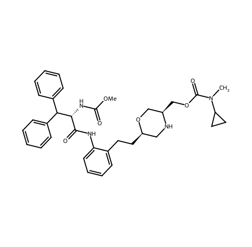 COC(=O)N[C@H](C(=O)Nc1ccccc1CC[C@@H]1CN[C@H](COC(=O)N(C)C2CC2)CO1)C(c1ccccc1)c1ccccc1